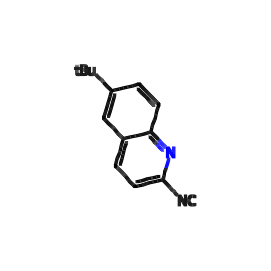 [C-]#[N+]c1ccc2cc(C(C)(C)C)ccc2n1